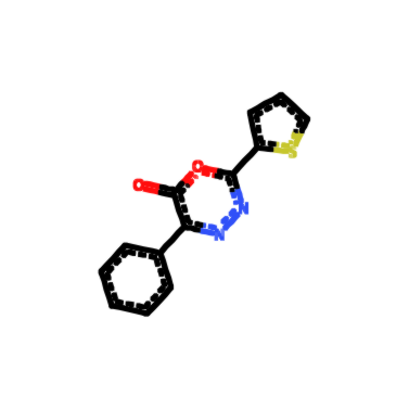 O=c1oc(-c2cccs2)nnc1-c1ccccc1